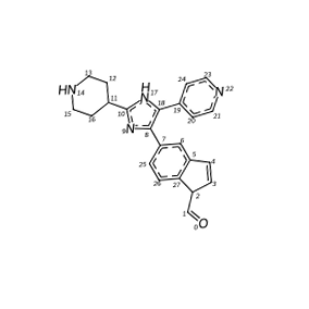 O=CC1C=Cc2cc(-c3nc(C4CCNCC4)[nH]c3-c3ccncc3)ccc21